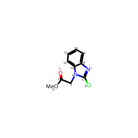 COC(=O)Cn1c(Cl)nc2ccccc21